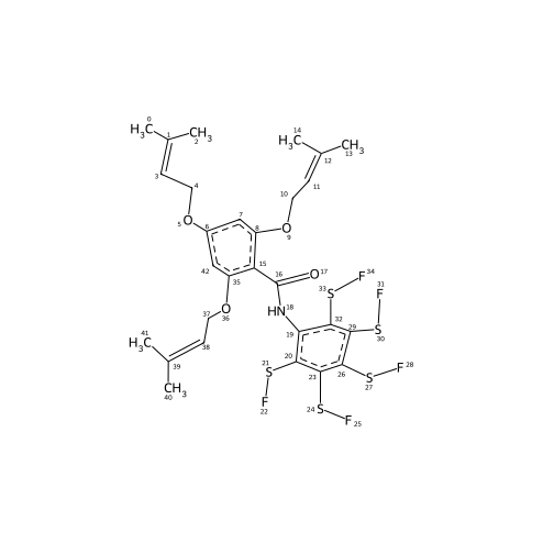 CC(C)=CCOc1cc(OCC=C(C)C)c(C(=O)Nc2c(SF)c(SF)c(SF)c(SF)c2SF)c(OCC=C(C)C)c1